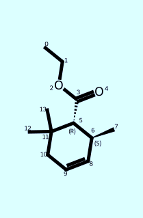 CCOC(=O)[C@@H]1[C@@H](C)C=CCC1(C)C